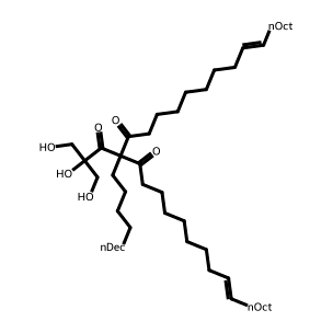 CCCCCCCCC=CCCCCCCCC(=O)C(CCCCCCCCCCCCCC)(C(=O)CCCCCCCC=CCCCCCCCC)C(=O)C(O)(CO)CO